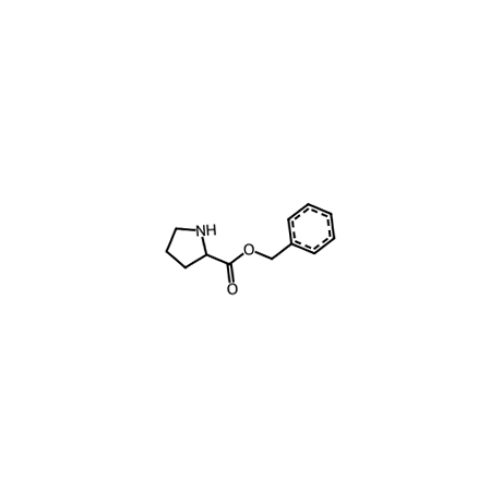 O=C(OCc1ccccc1)C1CCCN1